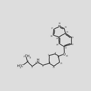 CC(C)CNCC1CCC(Oc2ccc3cnccc3c2)CC1